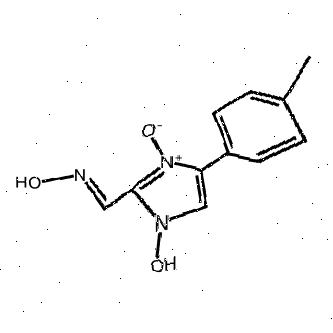 Cc1ccc(-c2cn(O)c(C=NO)[n+]2[O-])cc1